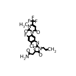 C=CCN1C(=O)C(CC(N)=O)SC1=Nc1cc(-n2c(=O)cc(C(F)(F)F)n(C)c2=O)c(F)cc1Cl